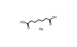 O=C(O)CCCCCC(=O)O.[Ag]